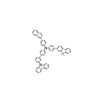 CC1(C)c2ccccc2-c2ccc(-c3ccc(N(c4ccc(-c5cccc(-n6c7ccccc7c7ccccc76)c5)cc4)c4ccc(-c5ccc6ccccc6c5)cc4)cc3)cc21